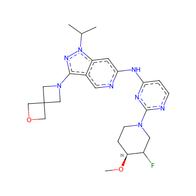 CO[C@H]1CCN(c2nccc(Nc3cc4c(cn3)c(N3CC5(COC5)C3)nn4C(C)C)n2)CC1F